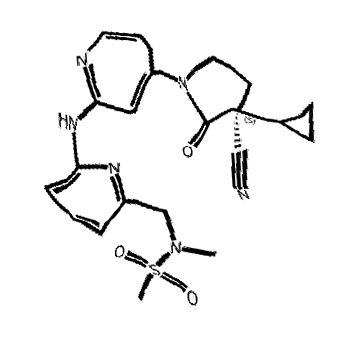 CN(Cc1cccc(Nc2cc(N3CC[C@@](C#N)(C4CC4)C3=O)ccn2)n1)S(C)(=O)=O